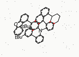 CC(C)(C)c1cc(-c2ccccc2N(c2ccc(-c3cccc4oc5ccccc5c34)cc2)c2ccccc2-c2cccc3cccc(C4CCCCC4)c23)cc(C(C)(C)C)c1